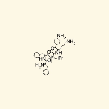 CC(C)C[C@@H](NC(=O)[C@@H](Cc1ccccc1)NC(=O)[C@H](N)Cc1ccccc1)C(=O)N[C@H](CCCCN)C(=O)C1CCC(N)CC1